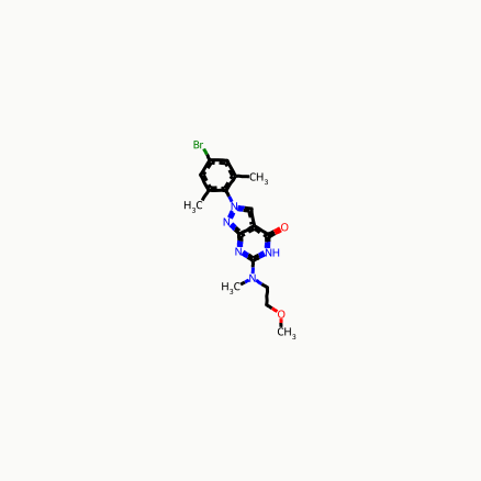 COCCN(C)c1nc2nn(-c3c(C)cc(Br)cc3C)cc2c(=O)[nH]1